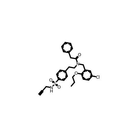 C#CCNS(=O)(=O)c1ccc(CCN(Cc2cc(Cl)ccc2OCCC)C(=O)Cc2ccccc2)cc1